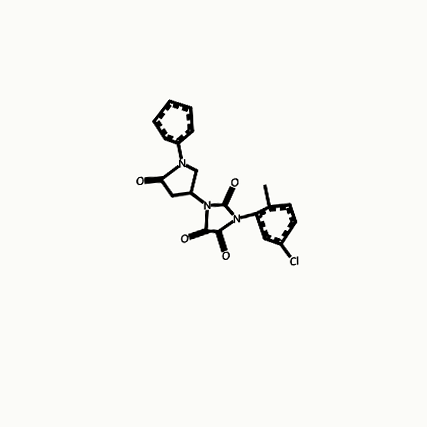 Cc1ccc(Cl)cc1N1C(=O)C(=O)N(C2CC(=O)N(c3ccccc3)C2)C1=O